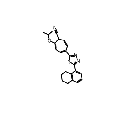 CC(C)OC1=CC=C(c2nnc(-c3cccc4c3CCCC4)s2)C=CC1C#N